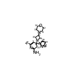 NC1=NC(F)=CC(N2CC(N3CCOCC3)C2)(n2ccnn2)C1